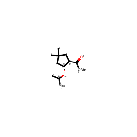 COC(=O)[C@@H]1CC(C)(C)C[C@H]1OC(C)C(C)(C)C